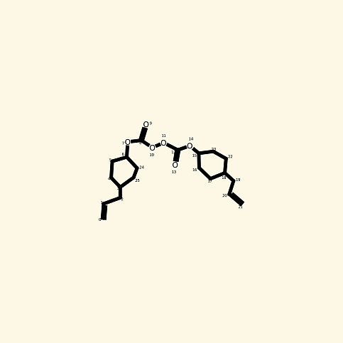 C=CCC1CCC(OC(=O)OOC(=O)OC2CCC(CC=C)CC2)CC1